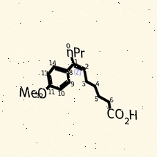 CCC/C(=C/CCCCC(=O)O)c1ccc(OC)cc1